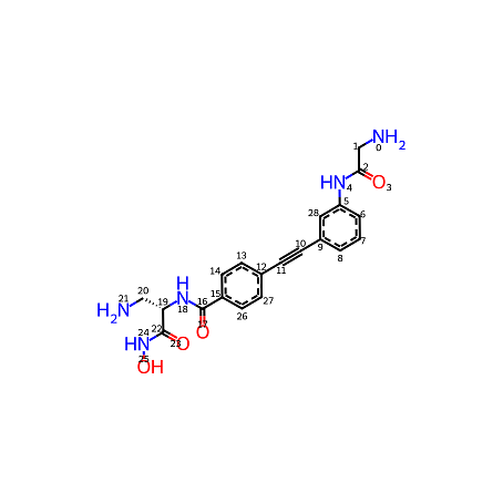 NCC(=O)Nc1cccc(C#Cc2ccc(C(=O)N[C@@H](CN)C(=O)NO)cc2)c1